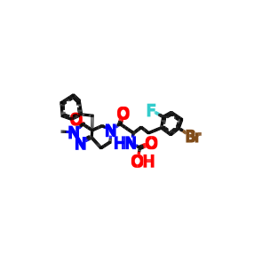 CN1N=C2CCN(C(=O)C(CCc3cc(Br)ccc3F)NC(=O)O)CC2(Cc2ccccc2)C1=O